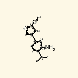 CC(C)c1ccc(-c2cnn(CI)c2)cc1N